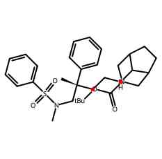 CN(C[C@@](C)(CCNC1C2CCC1CN(C(=O)OC(C)(C)C)C2)c1ccccc1)S(=O)(=O)c1ccccc1